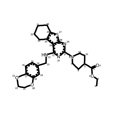 CCOC(=O)C1CCN(c2nc(NCc3ccc4c(c3)OCCO4)c3c4c(sc3n2)CCCC4)CC1